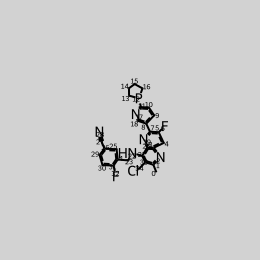 Cc1nc2cc(F)c(-c3ccc(P4CCCC4)nc3)nc2c(NCc2cc(C#N)ccc2F)c1Cl